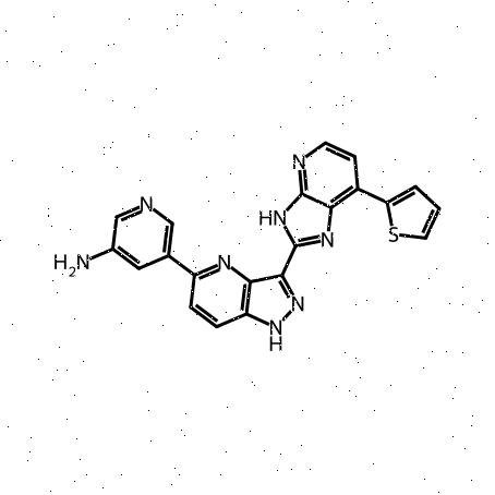 Nc1cncc(-c2ccc3[nH]nc(-c4nc5c(-c6cccs6)ccnc5[nH]4)c3n2)c1